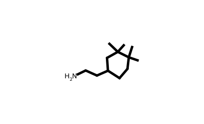 CC1(C)CCC(CCN)CC1(C)C